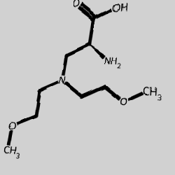 COCCN(CCOC)C[C@H](N)C(=O)O